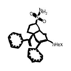 C=C(c1ccccc1)C12CCC(S(N)(=O)=O)C1CC(CCCCCC)=C2c1ccccc1